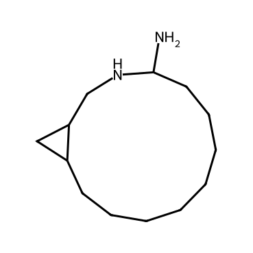 NC1CCCCCCCCC2CC2CN1